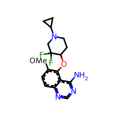 COc1ccc2ncnc(N)c2c1OC1CCN(C2CC2)CC1(F)F